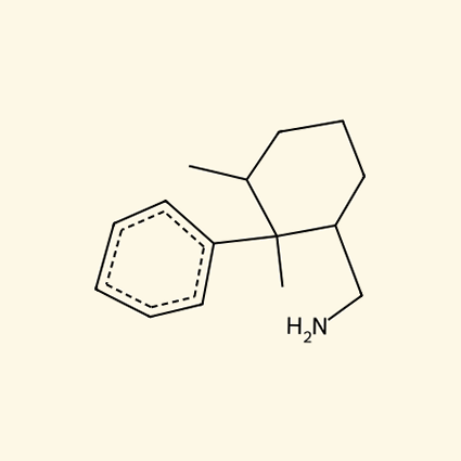 CC1CCCC(CN)C1(C)c1ccccc1